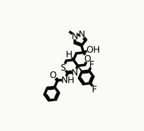 Cn1cc(C2(O)C[C@H]3CSC(NC(=O)c4ccccc4)=N[C@@]3(c3ccc(F)cc3F)CO2)cn1